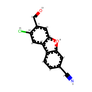 N#Cc1ccc2c(c1)oc1cc(C=O)c(Cl)cc12